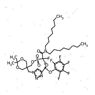 CCCCCCCCN(CCCCCCCC)C(=O)C(F)(F)S(=O)(=O)OCC1(Cn2cc(C(=O)Oc3c(F)c(F)c(F)c(F)c3F)nn2)COC(C)(C)OC1